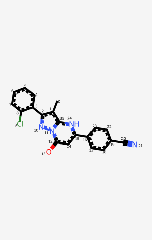 Cc1c(-c2ccccc2Cl)nn2c(=O)cc(-c3ccc(C#N)cc3)[nH]c12